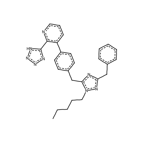 CCCCCn1nc(Cc2ccccc2)nc1Cc1ccc(-c2cccnc2-c2nnn[nH]2)cc1